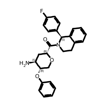 N[C@H]1C[C@H](C(=O)N2CCc3ccccc3[C@@H]2c2ccc(F)cc2)OC[C@@H]1Oc1ccccc1